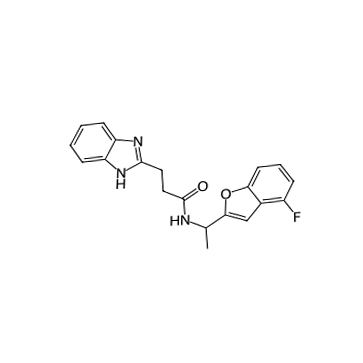 CC(NC(=O)CCc1nc2ccccc2[nH]1)c1cc2c(F)cccc2o1